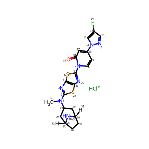 CN(c1nc2sc(-n3ccc(-n4cc(F)cn4)cc3=O)nc2s1)C1C[C@H]2CC[C@@H](C1)N2.Cl